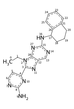 CCn1c(-c2ccnc(N)n2)nc2cnc(NC3CCCc4ccccc43)nc21